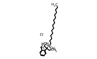 CCCCCCCCCCCCCCCC[N+](C)(C)C(CC)(CC)c1ccccc1CC.[Cl-]